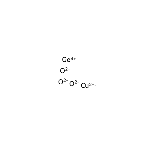 [Cu+2].[Ge+4].[O-2].[O-2].[O-2]